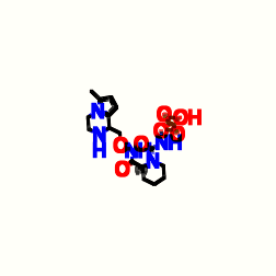 Cc1ccc2n1CCNC2CONC(=O)[C@@H]1CCCCN1C(=O)NOS(=O)(=O)O